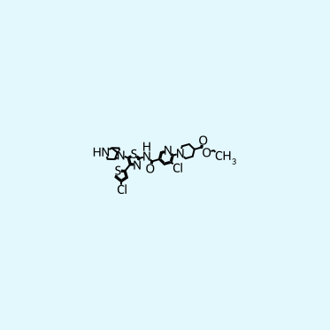 CCOC(=O)C1CCN(c2ncc(C(=O)Nc3nc(-c4cc(Cl)cs4)c(N4CC5CC4CN5)s3)cc2Cl)CC1